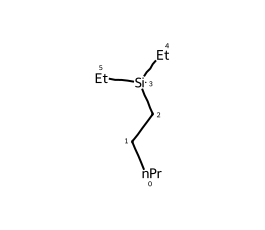 CCCCC[Si](CC)CC